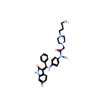 CCCCN1CCN(CC(=O)N(C)c2ccc(NC(=C3C(=O)Nc4cc(Cl)ccc43)c3ccccc3)cc2)CC1